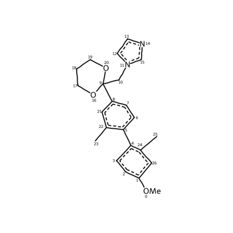 COc1ccc(-c2ccc(C3(Cn4ccnc4)OCCCO3)cc2C)c(C)c1